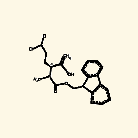 C=C(O)[C@H](CCC(Cl)Cl)N(C)C(=O)OCC1c2ccccc2-c2ccccc21